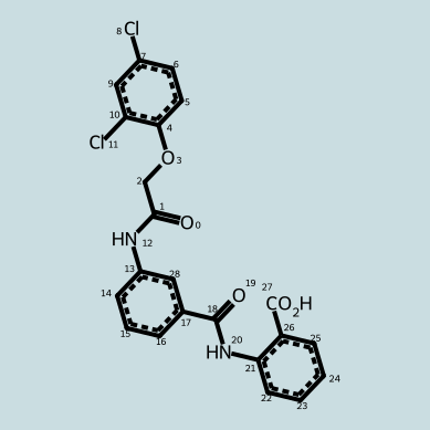 O=C(COc1ccc(Cl)cc1Cl)Nc1cccc(C(=O)Nc2ccccc2C(=O)O)c1